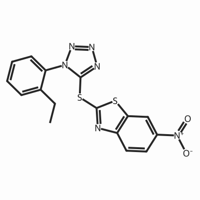 CCc1ccccc1-n1nnnc1Sc1nc2ccc([N+](=O)[O-])cc2s1